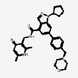 Cc1cc(=O)c(CNC(=O)c2cc(-c3ccc(CN4CCOCC4)cc3)cc3c2cnn3C2CCCC2)c(C)[nH]1